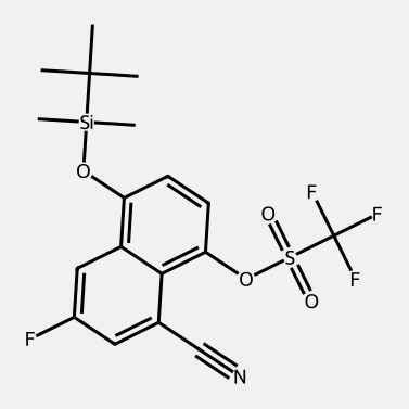 CC(C)(C)[Si](C)(C)Oc1ccc(OS(=O)(=O)C(F)(F)F)c2c(C#N)cc(F)cc12